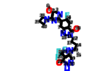 COc1cnc(-c2cc3ncn(CCC[C@H](C)Nc4cn[nH]c(=O)c4C(F)(F)F)c(=O)c3cc2F)nc1N1CCC1